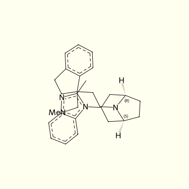 CNCC1(CCN2[C@@H]3CC[C@H]2CC(n2c(C)nc4ccccc42)C3)CCc2ccccc21